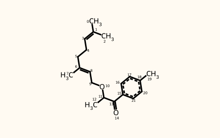 CC(C)=CCC/C(C)=C/COC(C)C(=O)c1ccc(C)cc1